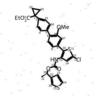 CCOC(=O)C1(c2ccc(-c3ccc(-c4sc(Cl)cc4NC(=O)O[C@H](C)c4ccsc4)cc3OC)cc2)CC1